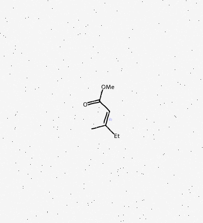 [CH2]OC(=O)/C=C(\C)CC